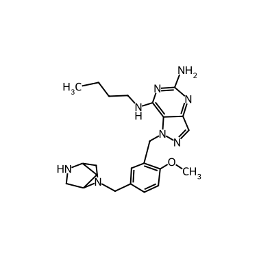 CCCCNc1nc(N)nc2cnn(Cc3cc(CN4CC5CC4CN5)ccc3OC)c12